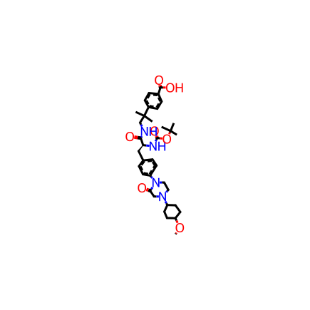 COC1CCC(N2CCN(c3ccc(C[C@H](NC(=O)OC(C)(C)C)C(=O)NCC(C)(C)c4ccc(C(=O)O)cc4)cc3)C(=O)C2)CC1